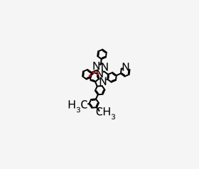 Cc1cc(C)cc(C2=CC3c4ccccc4N(c4ccc(-c5cccnc5)cc4-c4nc(-c5ccccc5)nc(-c5ccccc5)n4)C3C=C2)c1